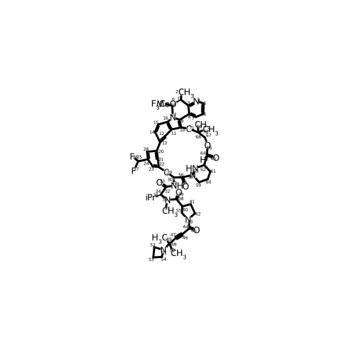 CO[C@@H](C)c1ncccc1-c1c2c3cc(ccc3n1CC(F)(F)F)-c1cc(cc(C(F)F)c1)C[C@H](NC(=O)[C@H](C(C)C)N(C)C(=O)C1CCN(C(=O)C#CC(C)(C)N3CCC3)C1)C(=O)N1CCC[C@H](N1)C(=O)OCC(C)(C)C2